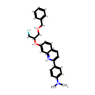 CCN(C)c1ccc(-c2ccc3ccc(OC(CF)COCc4ccccc4)cc3n2)cc1